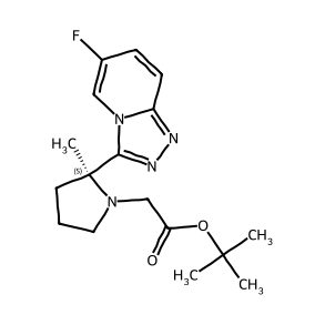 CC(C)(C)OC(=O)CN1CCC[C@@]1(C)c1nnc2ccc(F)cn12